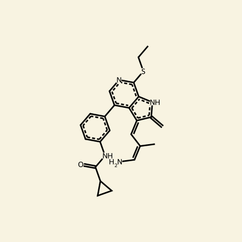 C=c1[nH]c2c(SCC)ncc(-c3cccc(NC(=O)C4CC4)c3)c2/c1=C/C(C)=C\N